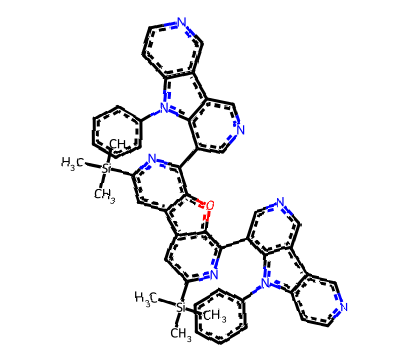 C[Si](C)(C)c1cc2c(oc3c(-c4cncc5c6cnccc6n(-c6ccccc6)c45)nc([Si](C)(C)C)cc32)c(-c2cncc3c4cnccc4n(-c4ccccc4)c23)n1